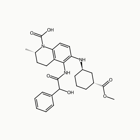 COC(=O)[C@@H]1CCC[C@@H](Nc2ccc3c(c2NC(=O)C(O)c2ccccc2)CC[C@H](C)N3C(=O)O)C1